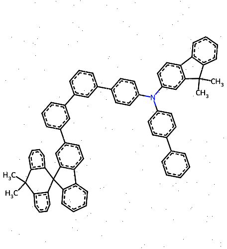 CC1(C)c2ccccc2-c2ccc(N(c3ccc(-c4ccccc4)cc3)c3ccc(-c4cccc(-c5cccc(-c6ccc7c(c6)C6(c8ccccc8-7)c7ccccc7C(C)(C)c7ccccc76)c5)c4)cc3)cc21